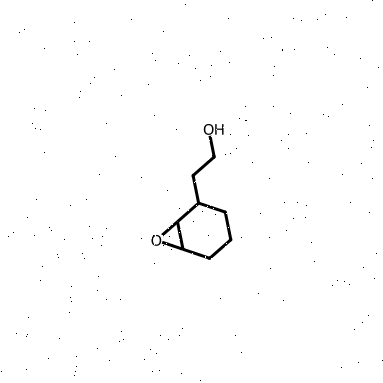 OCCC1CCCC2OC12